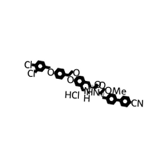 COC(=O)[C@H](Cc1ccc(-c2ccc(C#N)cc2)cc1)NC(=O)[C@@H]1Cc2cc3c(cc2CN1)OC(c1ccc(OCc2ccc(Cl)c(Cl)c2)cc1)CO3.Cl